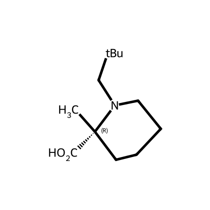 CC(C)(C)CN1CCCC[C@]1(C)C(=O)O